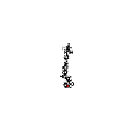 CN(C)C(=O)c1cc2cnc(Nc3ccc(N4CCN(C5CN(c6ccc(C(=O)N[C@H]7CCC(=O)NC7=O)nc6)C5)CC4)cn3)nc2n1C1CCCC1